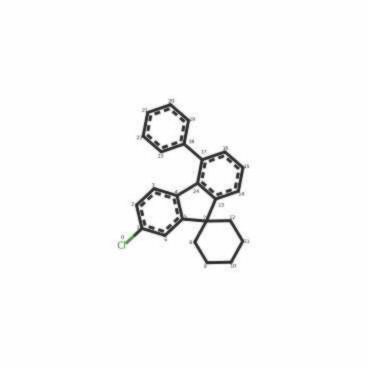 Clc1ccc2c(c1)C1(CCCCC1)c1cccc(-c3ccccc3)c1-2